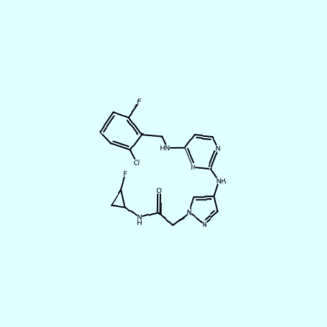 O=C(Cn1cc(Nc2nccc(NCc3c(F)cccc3Cl)n2)cn1)NC1CC1F